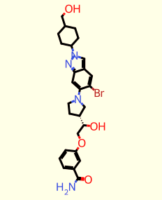 NC(=O)c1cccc(OCC(O)[C@@H]2CCN(c3cc4nn(C5CCC(CO)CC5)cc4cc3Br)C2)c1